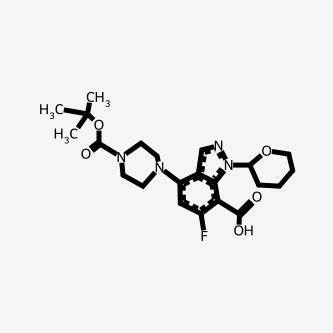 CC(C)(C)OC(=O)N1CCN(c2cc(F)c(C(=O)O)c3c2cnn3C2CCCCO2)CC1